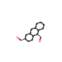 O=Cc1ccc2c(C=O)c3ccccc3cc2c1